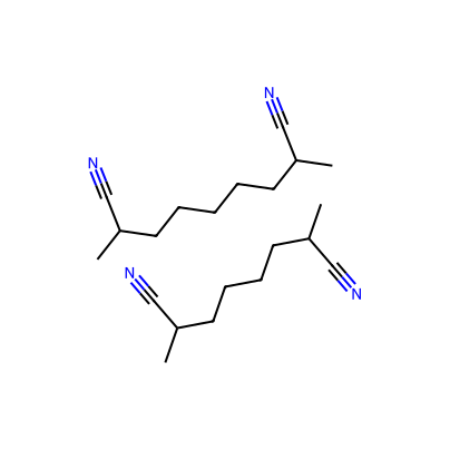 CC(C#N)CCCCC(C)C#N.CC(C#N)CCCCCC(C)C#N